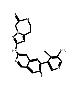 Cc1c(N)cncc1-c1cc2cc(Nc3cc4n(n3)CC(=O)NCC4)ncc2cc1F